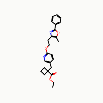 CCOC(=O)C1(Cc2ccc(OCCc3nc(-c4ccccc4)oc3C)nc2)CCC1